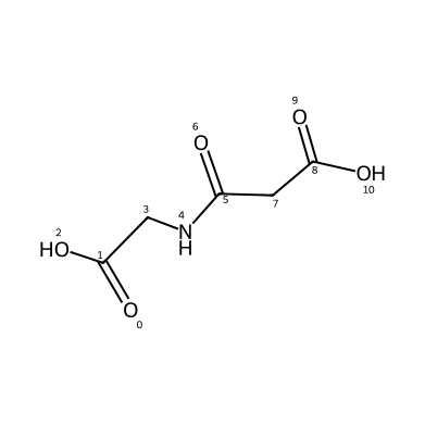 O=C(O)CNC(=O)CC(=O)O